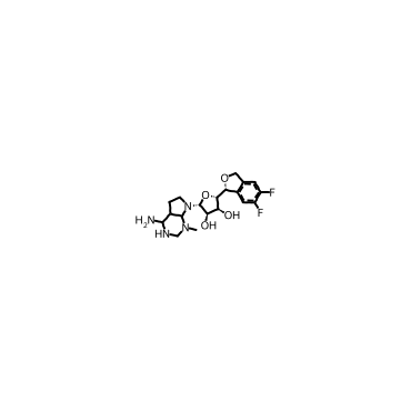 CN1CNC(N)C2CCN([C@@H]3O[C@H]([C@@H]4OCc5cc(F)c(F)cc54)[C@@H](O)[C@H]3O)C21